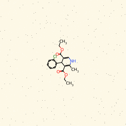 CCOC(=O)C1=CNC(C)=C(C(=O)OCC)C1c1ccccc1Cl